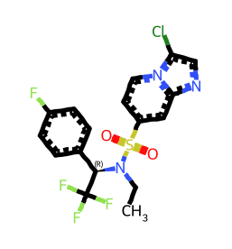 CCN([C@H](c1ccc(F)cc1)C(F)(F)F)S(=O)(=O)c1ccn2c(Cl)cnc2c1